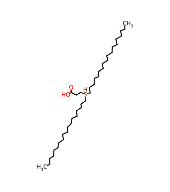 CCCCCCCCCCCCCCCCCC[SH](CCCCCCCCCCCCCCCCCC)CCC(=O)O